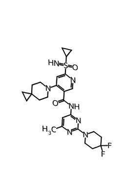 Cc1cc(NC(=O)c2cnc(S(=N)(=O)C3CC3)cc2N2CCC3(CC2)CC3)nc(N2CCC(F)(F)CC2)n1